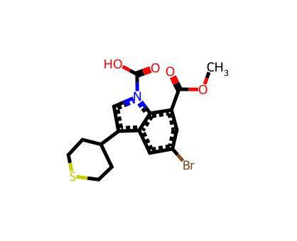 COC(=O)c1cc(Br)cc2c(C3CCSCC3)cn(C(=O)O)c12